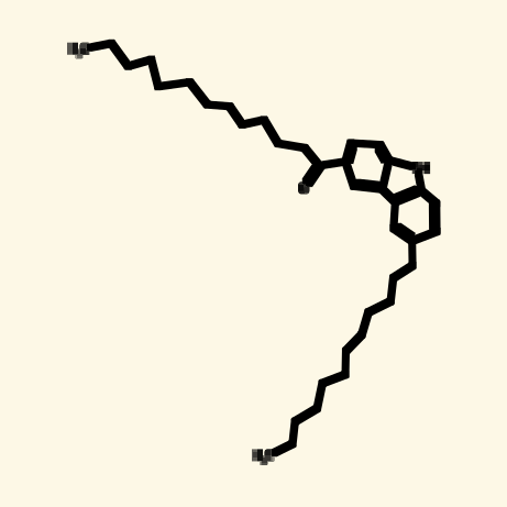 CCCCCCCCCCCCC(=O)c1ccc2[nH]c3ccc(CCCCCCCCCCCC)cc3c2c1